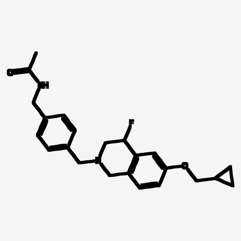 CC(=O)NCc1ccc(CN2Cc3ccc(OCC4CC4)cc3C(F)C2)cc1